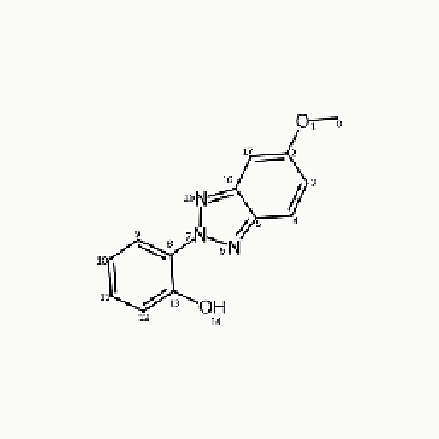 COc1ccc2nn(-c3ccccc3O)nc2c1